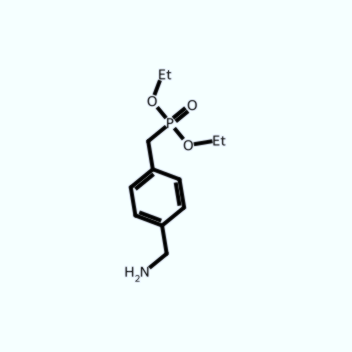 CCOP(=O)(Cc1ccc(CN)cc1)OCC